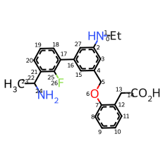 CCNc1cc(COc2ccccc2CC(=O)O)cc(-c2cccc(C(C)N)c2F)c1